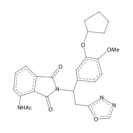 COc1ccc(C(Cc2nnco2)N2C(=O)c3cccc(NC(C)=O)c3C2=O)cc1OC1CCCC1